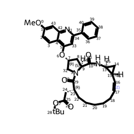 COc1ccc2c(O[C@@H]3C[C@H]4C(=O)N[C@H]5C[C@@H]5/C=C\CCCCC[C@H](CC(=O)OC(C)(C)C)C(=O)N4C3)cc(-c3ccccc3)nc2c1